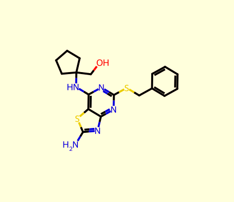 Nc1nc2nc(SCc3ccccc3)nc(NC3(CO)CCCC3)c2s1